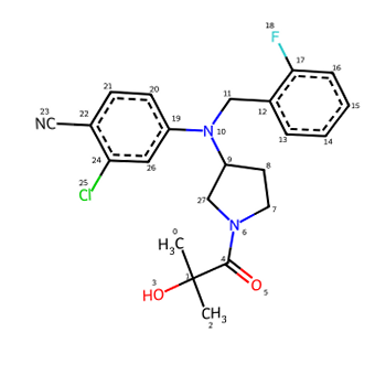 CC(C)(O)C(=O)N1CCC(N(Cc2ccccc2F)c2ccc(C#N)c(Cl)c2)C1